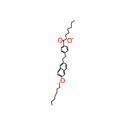 CCCCCCCCOc1ccc2cc(CCc3ccc(C(=O)[C@@H](CCCCCC)OC)cc3)ccc2c1